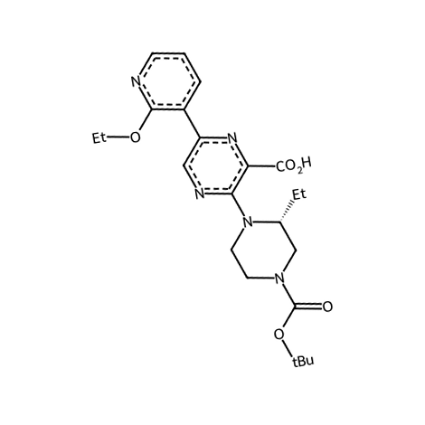 CCOc1ncccc1-c1cnc(N2CCN(C(=O)OC(C)(C)C)C[C@H]2CC)c(C(=O)O)n1